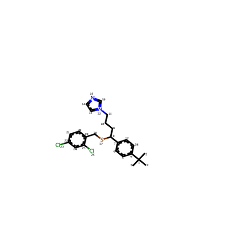 CC(C)(C)c1ccc(C(CCCn2ccnc2)SCc2ccc(Cl)cc2Cl)cc1